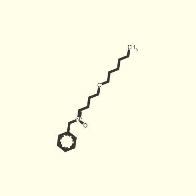 CCCCCCOCCCC=[N+]([O-])Cc1ccccc1